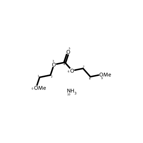 COCCOC(=O)OCCOC.N